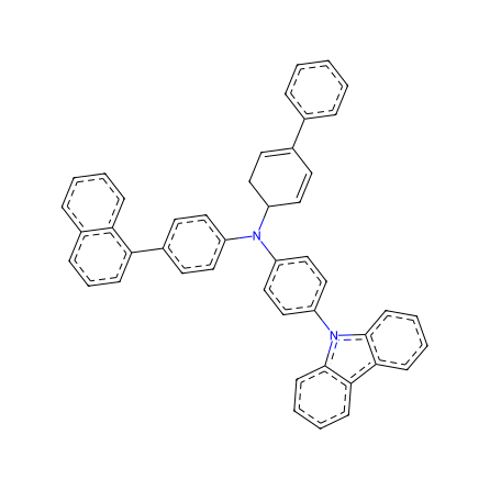 C1=CC(N(c2ccc(-c3cccc4ccccc34)cc2)c2ccc(-n3c4ccccc4c4ccccc43)cc2)CC=C1c1ccccc1